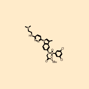 Cc1cn(-c2ccc(NCCN(C)C)nn2)c2ccc(N(CC(=O)OC(C)(C)C)S(=O)(=O)c3cc(Cl)cc(Cl)c3)cc12